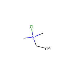 CCCC[N+](C)(C)Cl